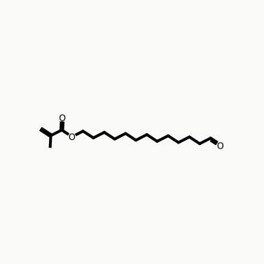 C=C(C)C(=O)OCCCCCCCCCCCCC=O